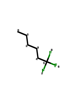 CCCCCC(F)(F)F